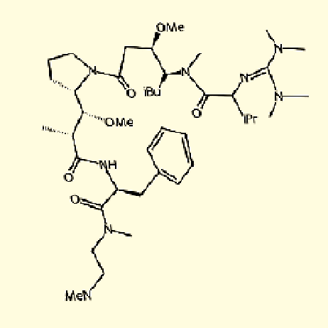 CC[C@H](C)[C@@H]([C@@H](CC(=O)N1CCC[C@H]1[C@H](OC)[C@@H](C)C(=O)N[C@@H](Cc1ccccc1)C(=O)N(C)CCNC)OC)N(C)C(=O)C(N=C(N(C)C)N(C)C)C(C)C